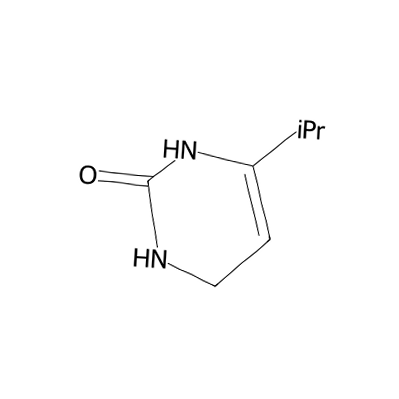 CC(C)C1=CCNC(=O)N1